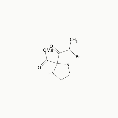 COC(=O)C1(C(=O)C(C)Br)NCCS1